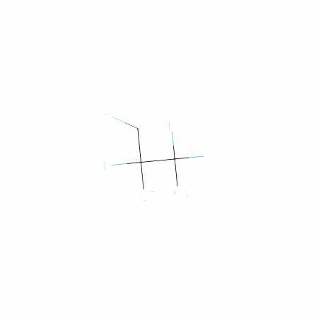 FCC(F)(C(F)(F)F)[C](F)(F)[Cs]